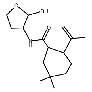 C=C(C)C1CCC(C)(C)CC1C(=O)NC1CCOC1O